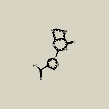 O=C(O)c1cnn(-c2nc3nc[nH]c3c(=O)[nH]2)c1